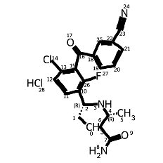 CC[C@@H](N[C@H](C)CC(N)=O)c1ccc(Cl)c(C(=O)c2cccc(C#N)c2)c1F.Cl